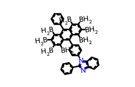 Bc1c(B)c(B)c2c(-c3ccc(-n4c(-c5ccccc5)nc5ccccc54)cc3)c3c(B)c(B)c(B)c(B)c3c(-c3ccccc3)c2c1B